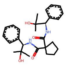 CC(C)(O)[C@H](NC(=O)C1(C(=O)N[C@H](c2ccccc2)C(C)(C)O)CCCC1)c1ccccc1